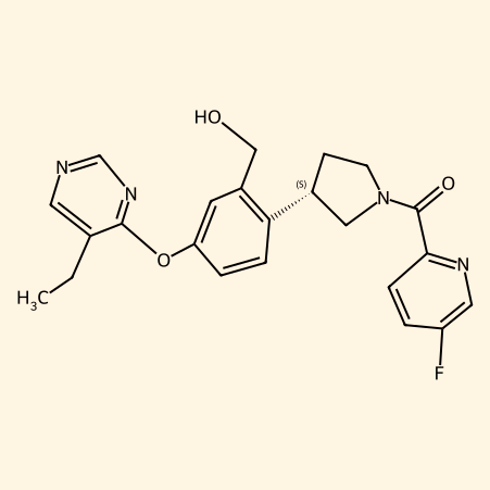 CCc1cncnc1Oc1ccc([C@@H]2CCN(C(=O)c3ccc(F)cn3)C2)c(CO)c1